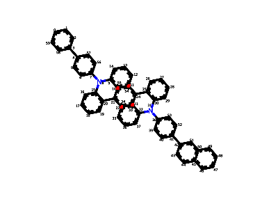 c1ccc(-c2ccc(N(c3ccccc3)c3ccccc3-c3ccc(-c4ccccc4N(c4ccccc4)c4ccc(-c5ccc6ccccc6c5)cc4)cc3)cc2)cc1